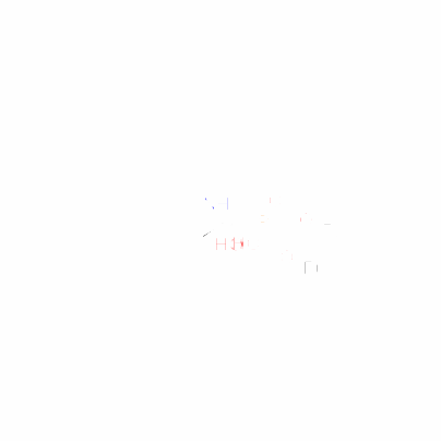 CCOC(OCC)P(=O)(O)C[C@](C)(O)NCCc1ccccc1